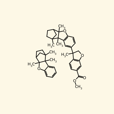 CC12CCC(C1)C1(C)Oc3ccccc3C21C.COC(=O)c1ccc2c(c1)OCC2(C)c1ccc2c(c1)C1(C)C3(C)CCC(C3)C1(C)O2